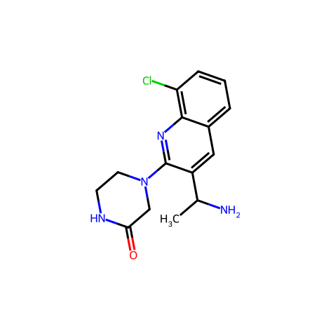 CC(N)c1cc2cccc(Cl)c2nc1N1CCNC(=O)C1